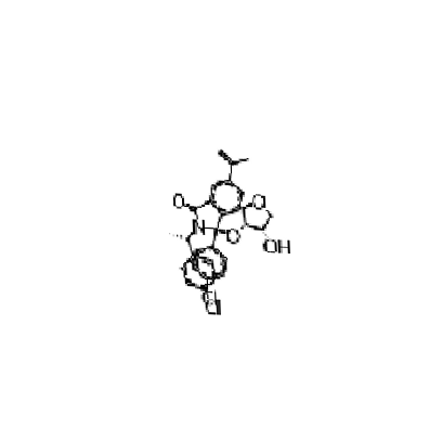 C=C(C)c1ccc2c(c1)C(=O)N([C@@H](C)c1ccc(Cl)cc1)[C@@]2(O[C@@H]1COC[C@@H]1O)c1ccc(Cl)cc1